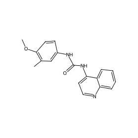 COc1ccc(NC(=O)Nc2ccnc3ccccc23)cc1C